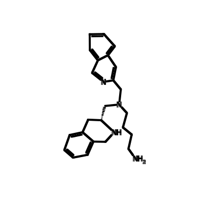 NCCCCN(Cc1cc2ccccc2cn1)C[C@H]1Cc2ccccc2CN1